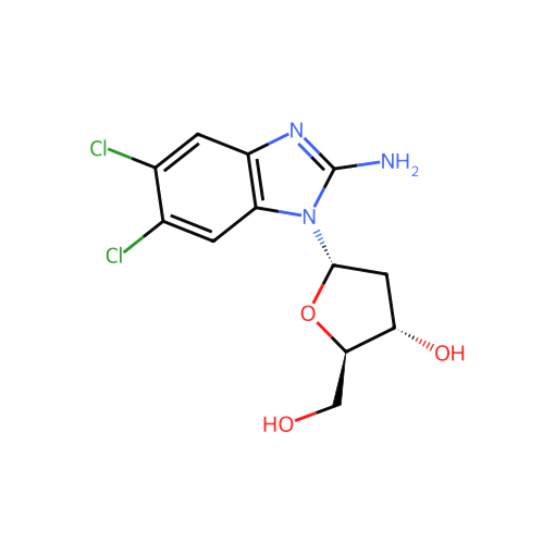 Nc1nc2cc(Cl)c(Cl)cc2n1[C@@H]1C[C@H](O)[C@@H](CO)O1